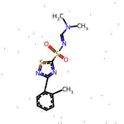 Cc1ccccc1-c1nsc(S(=O)(=O)N=CN(C)C)n1